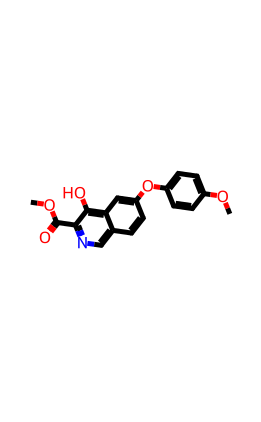 COC(=O)c1ncc2ccc(Oc3ccc(OC)cc3)cc2c1O